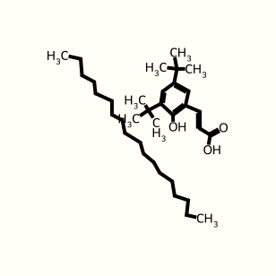 CC(C)(C)c1cc(C=CC(=O)O)c(O)c(C(C)(C)C)c1.CCCCCCCCCCCCCCCCCC